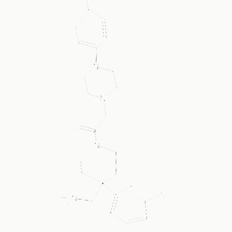 NCC1(c2cccc(C(F)(F)F)c2)CCN(C(=O)CN2CCN(c3ccc(F)cc3)CC2)CC1